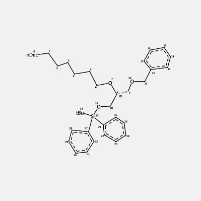 CCCCCCCCCCCCCCCCO[C@H](COCc1ccccc1)CO[Si](c1ccccc1)(c1ccccc1)C(C)(C)C